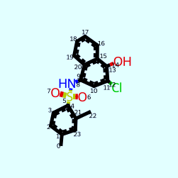 Cc1ccc(S(=O)(=O)Nc2cc(Cl)c(O)c3ccccc23)c(C)c1